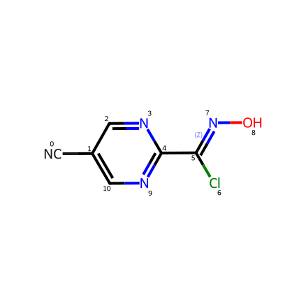 N#Cc1cnc(/C(Cl)=N/O)nc1